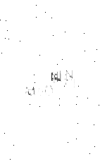 COc1ccc2c(Cc3c(Cl)cncc3Cl)nncc2c1/C=C/CCCc1ccccc1